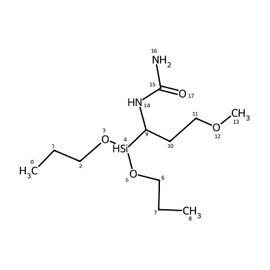 CCCO[SiH](OCCC)C(CCOC)NC(N)=O